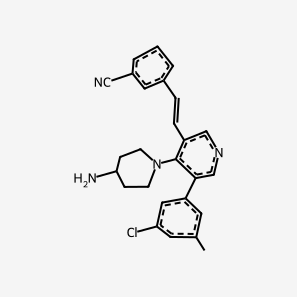 Cc1cc(Cl)cc(-c2cncc(/C=C/c3cccc(C#N)c3)c2N2CCC(N)CC2)c1